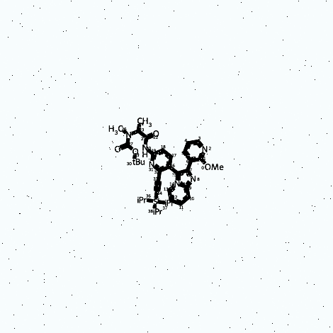 COc1ncccc1-c1nc2ccccn2c1-c1ccc(NC(=O)C(C)N(C)C(=O)OC(C)(C)C)nc1C#CS(C(C)C)(C(C)C)C(C)C